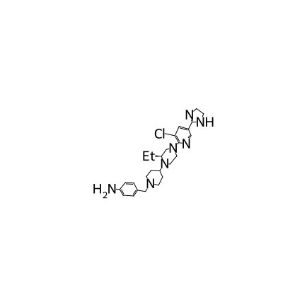 CC[C@H]1CN(c2ncc(C3=NCCN3)cc2Cl)CCN1C1CCN(Cc2ccc(N)cc2)CC1